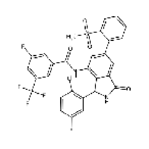 CS(=O)(=O)c1ccccc1-c1cc(NC(=O)c2cc(F)cc(C(F)(F)F)c2)c2c(c1)C(=O)NC2c1cc(F)ccc1Cl